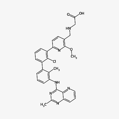 COc1nc(-c2cccc(-c3cccc(Nc4nc(C)nc5cccnc45)c3C)c2Cl)ccc1CNCC(=O)O